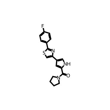 O=C(c1cc(-c2csc(-c3ccc(F)cc3)n2)c[nH]1)N1CCCC1